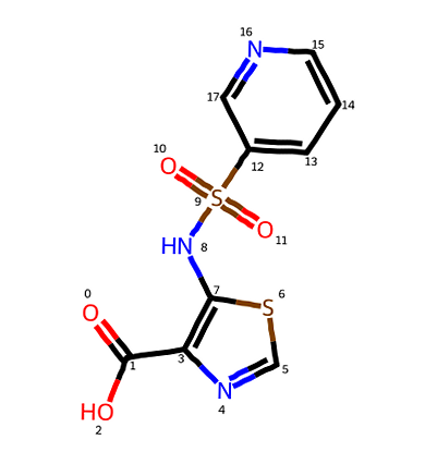 O=C(O)c1ncsc1NS(=O)(=O)c1cccnc1